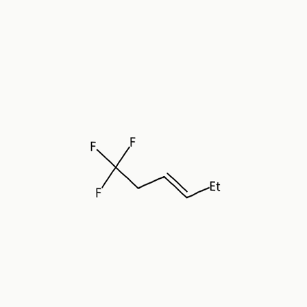 CCC=CCC(F)(F)F